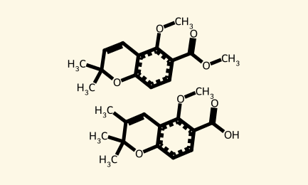 COC(=O)c1ccc2c(c1OC)C=CC(C)(C)O2.COc1c(C(=O)O)ccc2c1C=C(C)C(C)(C)O2